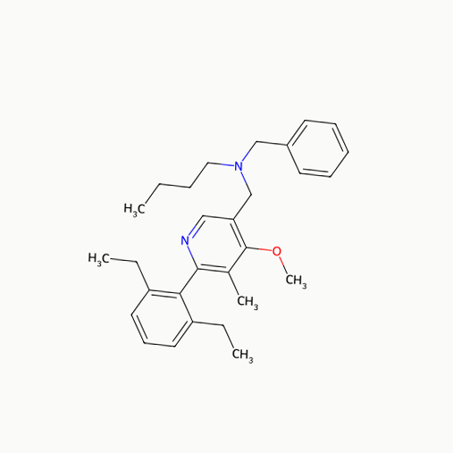 CCCCN(Cc1ccccc1)Cc1cnc(-c2c(CC)cccc2CC)c(C)c1OC